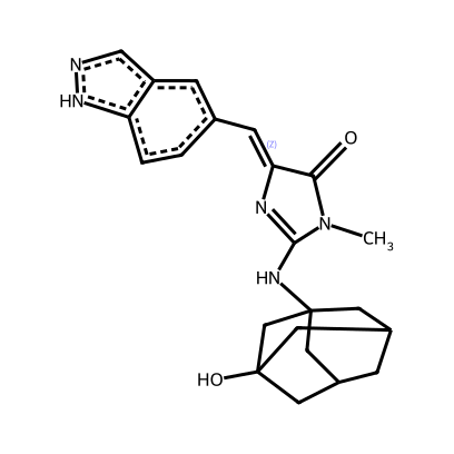 CN1C(=O)/C(=C/c2ccc3[nH]ncc3c2)N=C1NC12CC3CC(CC(O)(C3)C1)C2